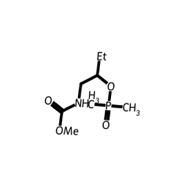 CCC(CNC(=O)OC)OP(C)(C)=O